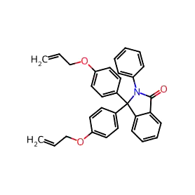 C=CCOc1ccc(C2(c3ccc(OCC=C)cc3)c3ccccc3C(=O)N2c2ccccc2)cc1